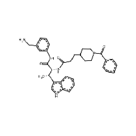 C[C@@H](c1c[nH]c2ccccc12)[C@@H](NC(=O)CCC1CCN(C(=O)c2ccccc2)CC1)C(=O)Nc1cccc(CN)c1